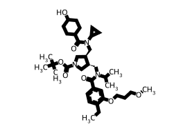 CCc1ccc(C(=O)N(C[C@@H]2CN(C(=O)OC(C)(C)C)C[C@H]2CN(C(=O)C2CCC(O)CC2)C2CC2)C(C)C)cc1OCCCOC